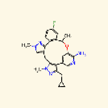 C[C@H]1Oc2cc(cnc2N)-c2c(CC3CC3)nn(C)c2Cc2cn(C)nc2-c2ccc(F)cc21